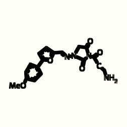 COc1ccc(-c2ccc(C=NN3CC(=O)N(C(=O)CCN)C3=O)o2)cc1